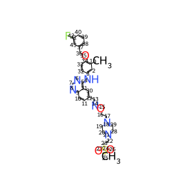 Cc1cc(Nc2ncnc3ccc(/C=N/OCCN4CCN(CCS(C)(=O)=O)CC4)cc23)ccc1OCc1cccc(F)c1